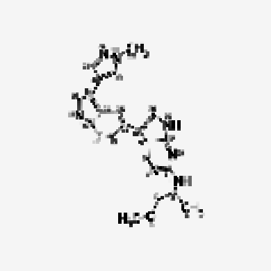 COCC(C)Nc1ncc2c(-c3ccn4ncc(-c5cnn(C)c5)c4c3)c[nH]c2n1